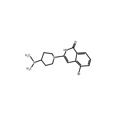 CN(C)C1CCN(c2cc3c(Br)cccc3c(=O)[nH]2)CC1